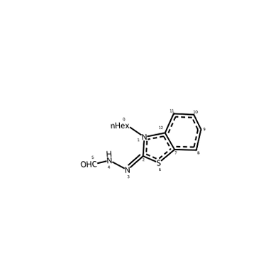 CCCCCCn1c(=NNC=O)sc2ccccc21